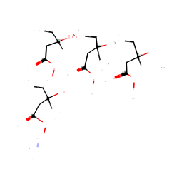 O=C([O-])CC(O)(CC(=O)O[O-])C(=O)[O-].O=C([O-])CC(O)(CC(=O)O[O-])C(=O)[O-].O=C([O-])CC(O)(CC(=O)O[O-])C(=O)[O-].O=C([O-])CC([O-])(CC(=O)O[O-])C(=O)[O-].[NH4+].[Ti+4].[Ti+4].[Ti+4]